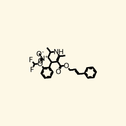 CC1=C(C(=O)OCC=Cc2ccccc2)C(c2ccccc2OC(F)F)C([N+](=O)[O-])C(C)N1